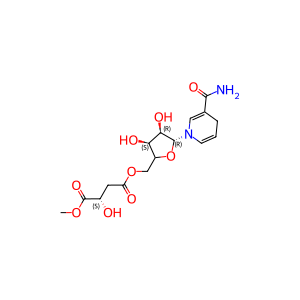 COC(=O)[C@@H](O)CC(=O)OCC1O[C@@H](N2C=CCC(C(N)=O)=C2)[C@H](O)[C@@H]1O